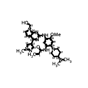 C=CC(=O)Nc1cc(Nc2nc(-c3cnn(C)c3)c3ccn(CO)c3n2)c(OC)cc1N1CCC(N(C)C)CC1